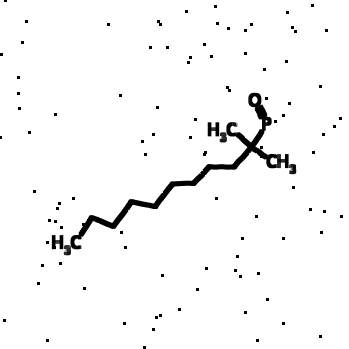 CCCCCCCCCC(C)(C)P=O